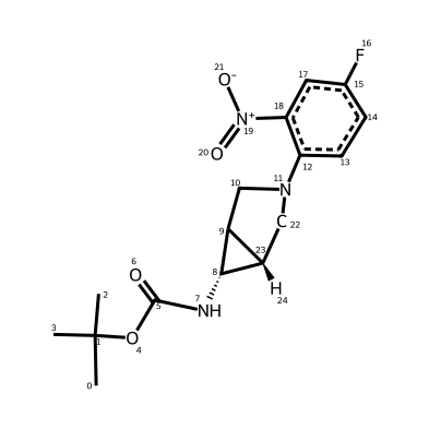 CC(C)(C)OC(=O)N[C@@H]1C2CN(c3ccc(F)cc3[N+](=O)[O-])C[C@@H]21